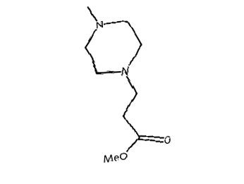 COC(=O)CCN1CCN(C)CC1